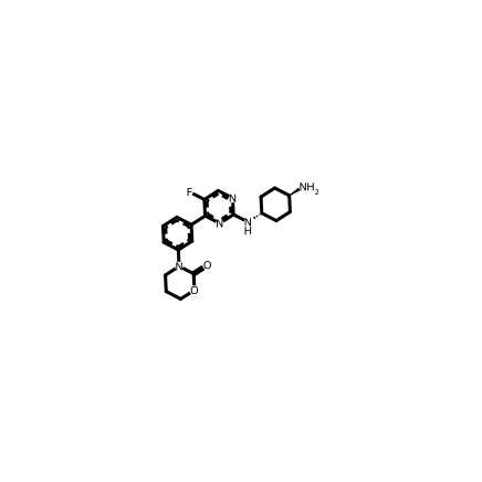 N[C@H]1CC[C@H](Nc2ncc(F)c(-c3cccc(N4CCCOC4=O)c3)n2)CC1